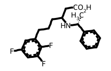 C[C@@H](NC(CCCc1cc(F)cc(F)c1F)CC(=O)O)c1ccccc1